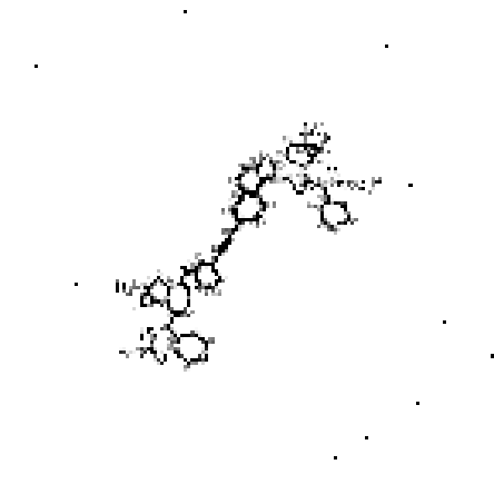 COC(=O)N[C@H](C(=O)N1C2C[C@]2(C)C[C@H]1c1nc2cc(C#Cc3ccc4c(ccc5nc([C@@H]6C[C@@]7(C)CC7N6C(=O)[C@@H](NC(=O)O)C6CCOCC6)[nH]c54)c3)ccc2[nH]1)C1CCOCC1